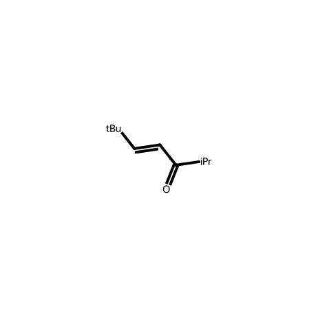 CC(C)C(=O)C=CC(C)(C)C